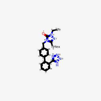 CCCCCCc1nn(CC(C)C)c(=O)n1Cc1ccc(-c2ccccc2-c2nnn[nH]2)cc1